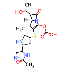 CC(=O)NC(CN)[C@@H]1C[C@H](SC2=C(OC(=O)O)N3C(=O)[C@H]([C@@H](C)O)[C@@H]3[C@H]2C)CN1